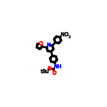 CC(C)(C)OC(=O)Nc1ccc(-c2cc(-c3ccc([N+](=O)[O-])cc3)nc(-c3ccco3)c2)cc1